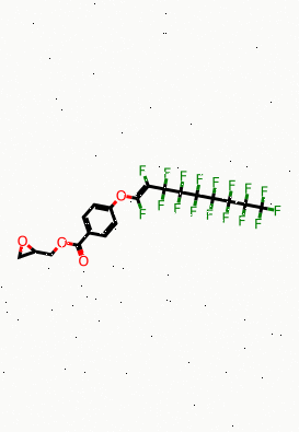 O=C(OCC1CO1)c1ccc(OC(F)=C(F)C(F)(F)C(F)(F)C(F)(F)C(F)(F)C(F)(F)C(F)(F)C(F)(F)F)cc1